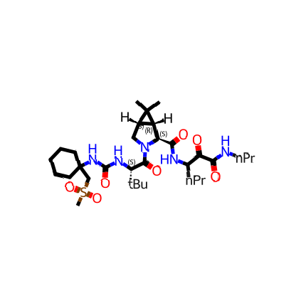 CCCNC(=O)C(=O)C(CCC)NC(=O)[C@@H]1[C@@H]2[C@H](CN1C(=O)[C@@H](NC(=O)NC1(CS(C)(=O)=O)CCCCC1)C(C)(C)C)C2(C)C